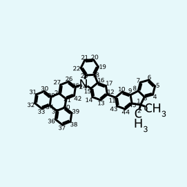 CC1(C)c2ccccc2-c2cc(-c3ccc4c(c3)c3ccccc3n4-c3ccc4c5ccccc5c5ccccc5c4c3)ccc21